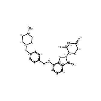 CCCCN1CCN(Cc2ccc(COc3cccc4c3CN(C3CCC(=O)NC3=O)C4=O)cc2)CC1